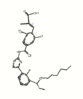 CCCCCCOC(CC)c1cccc(-c2csc(NC(=O)c3cc(Cl)c(/C=C(\C)C(=O)O)c(Cl)c3)n2)c1F